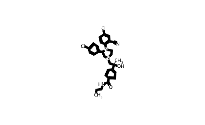 CCCNC(=O)c1ccc([C@](C)(O)CN2CCN(c3ccc(Cl)cc3C#N)C(c3ccc(Cl)cc3)C2)cc1